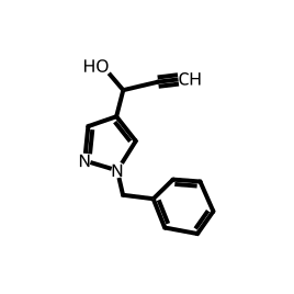 C#CC(O)c1cnn(Cc2ccccc2)c1